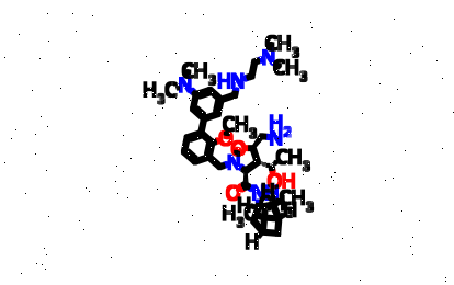 COc1c(CN2O[C@@H](CN)[C@H]([C@H](C)O)[C@H]2C(=O)N[C@H]2C[C@H]3C[C@@H]([C@@H]2C)C3(C)C)cccc1-c1cc(CNCCN(C)C)cc(N(C)C)c1